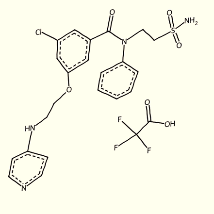 NS(=O)(=O)CCN(C(=O)c1cc(Cl)cc(OCCNc2ccncc2)c1)c1ccccc1.O=C(O)C(F)(F)F